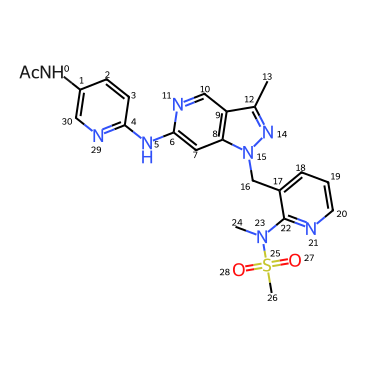 CC(=O)Nc1ccc(Nc2cc3c(cn2)c(C)nn3Cc2cccnc2N(C)S(C)(=O)=O)nc1